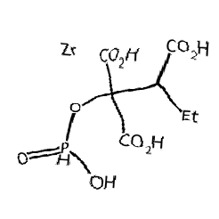 CCC(C(=O)O)C(O[PH](=O)O)(C(=O)O)C(=O)O.[Zr]